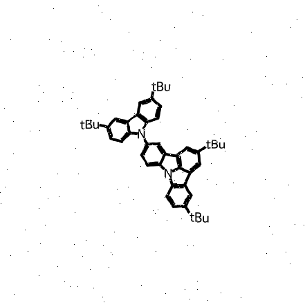 CC(C)(C)c1ccc2c(c1)c1cc(C(C)(C)C)ccc1n2-c1ccc2c(c1)c1cc(C(C)(C)C)cc3c4cc(C(C)(C)C)ccc4n2c13